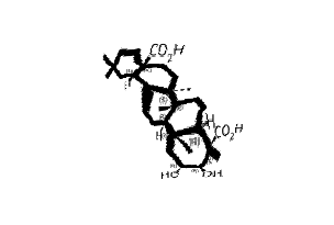 CC1(C)CC[C@]2(C(=O)O)CC[C@]3(C)C(=CC[C@@H]4[C@@]5(C)C[C@@H](O)[C@H](O)[C@@](C)(C(=O)O)[C@@H]5CC[C@]43C)[C@@H]2C1